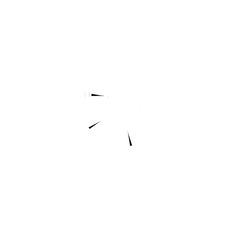 C[C@H]1[C@@H]2CCC(S2)[C@H]1C